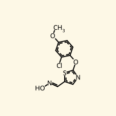 COc1ccc(Oc2ncc(C=NO)s2)c(Cl)c1